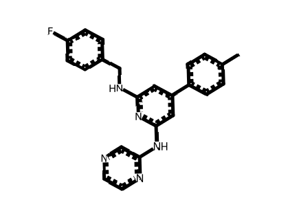 Cc1ccc(-c2cc(NCc3ccc(F)cc3)nc(Nc3cnccn3)c2)cc1